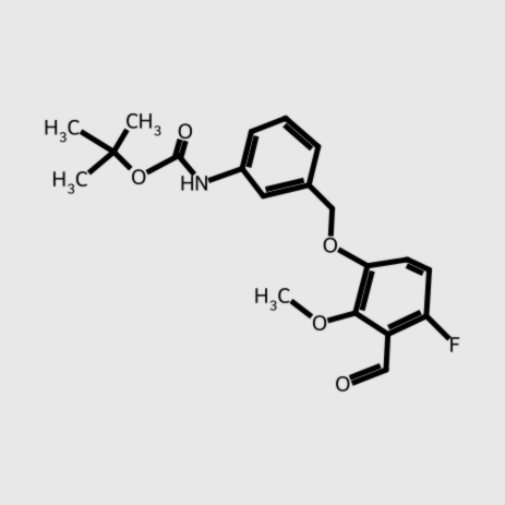 COc1c(OCc2cccc(NC(=O)OC(C)(C)C)c2)ccc(F)c1C=O